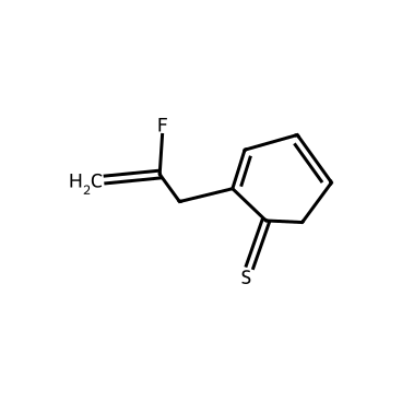 C=C(F)CC1=CC=CCC1=S